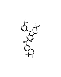 CC(C)(C)c1cc(-n2c3nc(Nc4ccc5c(c4)CCNC5(C)C)ncc3c(=O)n2CC(F)(F)F)ccn1